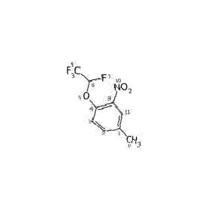 Cc1ccc(OC(F)C(F)(F)F)c([N+](=O)[O-])c1